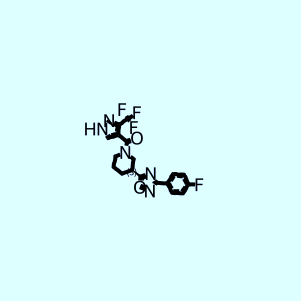 O=C(c1c[nH]nc1C(F)(F)F)N1CCC[C@H](c2nc(-c3ccc(F)cc3)no2)C1